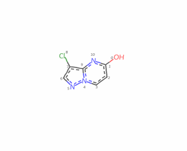 Oc1ccn2ncc(Cl)c2n1